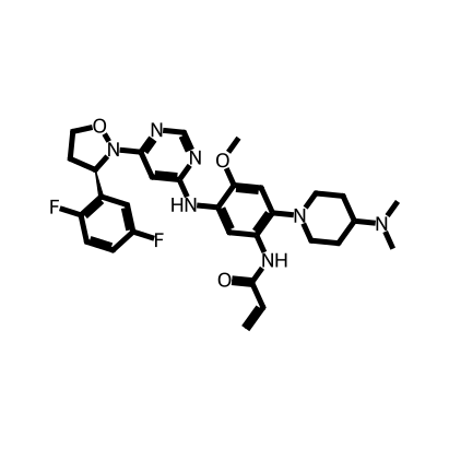 C=CC(=O)Nc1cc(Nc2cc(N3OCC[C@@H]3c3cc(F)ccc3F)ncn2)c(OC)cc1N1CCC(N(C)C)CC1